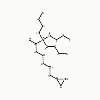 CCCO[Si](OCCC)(OCCC)C(C)CCCOCC1CO1